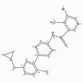 Cc1c(Br)cncc1C(=O)Nc1cnc(-c2cc(OC3CC3)ccc2Cl)cn1